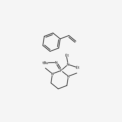 C=Cc1ccccc1.CCN(CC)P1(=NC(C)(C)C)N(C)CCCN1C